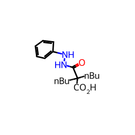 CCCCC(CCCC)(C(=O)O)C(=O)NNc1ccccc1